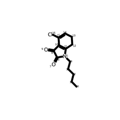 CCCCCN1C(=O)C(=O)C2=C1CCC=C2Cl